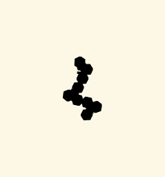 c1ccc(-n2c3ccccc3c3ccc(-c4ccc5c6ccccc6n(-c6ccc(-c7ccc(-c8cccc9c8sc8ccccc89)cc7)cc6)c5c4)cc32)cc1